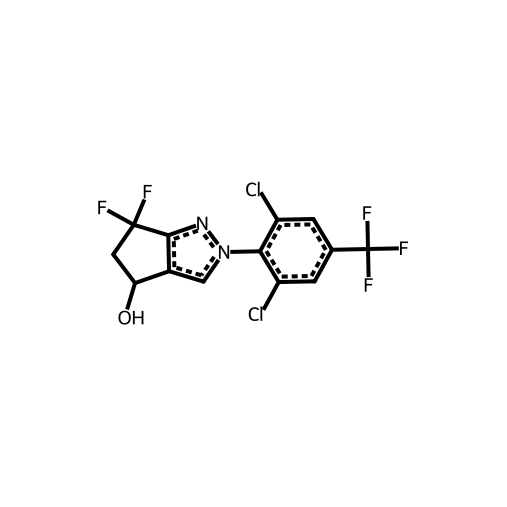 OC1CC(F)(F)c2nn(-c3c(Cl)cc(C(F)(F)F)cc3Cl)cc21